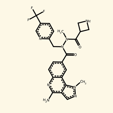 CN(C(=O)C1CNC1)N(Cc1ccc(C(F)(F)F)cn1)C(=O)c1ccc2nc(N)c3cnn(C)c3c2c1